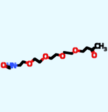 CC(=O)CCOCCOCCOCCOCCNC=O